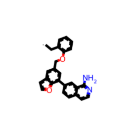 [CH2]Cc1ccccc1OCc1cc(-c2ccc3ccnc(N)c3c2)c2occc2c1